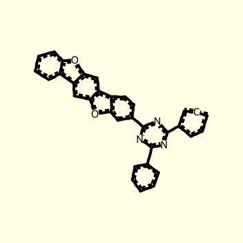 c1ccc(-c2nc(-c3ccccc3)nc(-c3ccc4c(c3)oc3cc5c(cc34)oc3ccccc35)n2)cc1